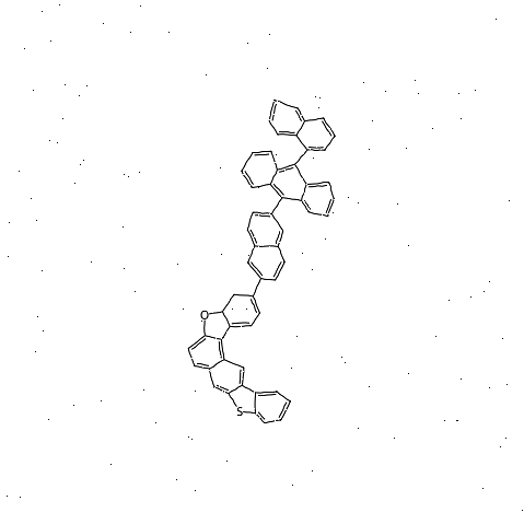 C1=C(c2ccc3cc(-c4c5ccccc5c(-c5cccc6ccccc56)c5ccccc45)ccc3c2)CC2Oc3ccc4cc5sc6ccccc6c5cc4c3C2=C1